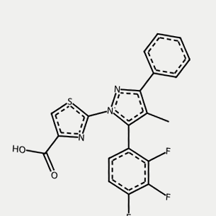 Cc1c(-c2ccccc2)nn(-c2nc(C(=O)O)cs2)c1-c1ccc(F)c(F)c1F